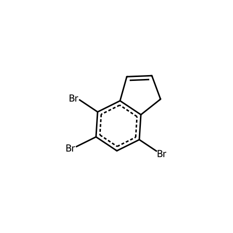 Brc1cc(Br)c2c(c1Br)C=CC2